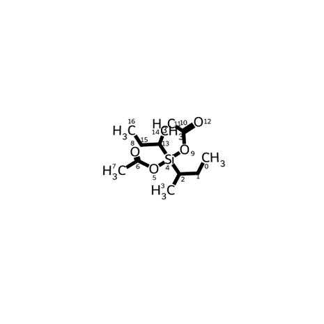 CCC(C)[Si](OC(C)=O)(OC(C)=O)C(C)CC